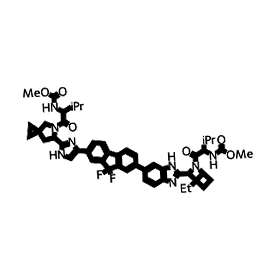 CCC12CCC1N(C(=O)C(NC(=O)OC)C(C)C)C2c1nc2ccc(-c3ccc4c(c3)C(F)(F)c3cc(-c5c[nH]c(C6CC7(CC7)CN6C(=O)C(NC(=O)OC)C(C)C)n5)ccc3-4)cc2[nH]1